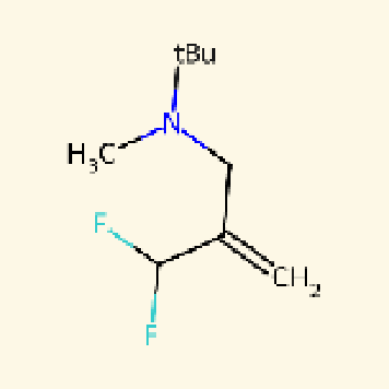 C=C(CN(C)C(C)(C)C)C(F)F